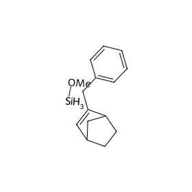 C1=C(Cc2ccccc2)C2CCC1C2.CO[SiH3]